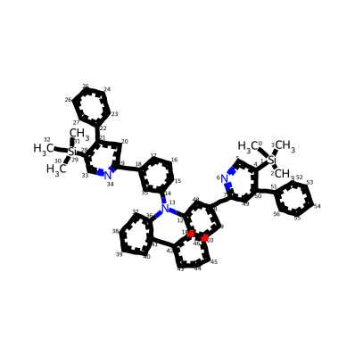 C[Si](C)(C)c1cnc(-c2cccc(N(c3cccc(-c4cc(-c5ccccc5)c([Si](C)(C)C)cn4)c3)c3ccccc3-c3ccccc3)c2)cc1-c1ccccc1